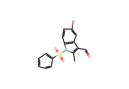 Cc1c(C=O)c2cc(Br)ccc2n1S(=O)(=O)c1ccccc1